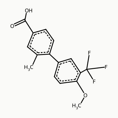 COc1ccc(-c2ccc(C(=O)O)cc2C)cc1C(F)(F)F